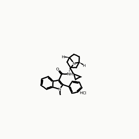 Cl.Cn1c(-c2ccccc2)c(C(=O)N[C@H]2C[C@H]3CC[C@@H](C2)N3CC2CC2)c2ccccc21